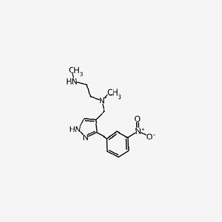 CNCCN(C)Cc1c[nH]nc1-c1cccc([N+](=O)[O-])c1